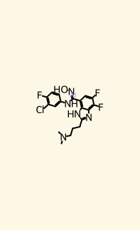 CN(C)CCCc1nc2c(F)c(F)cc(/C(=N/O)Nc3ccc(F)c(Cl)c3)c2[nH]1